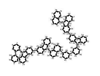 c1ccc(-c2ccccc2-n2c3ccccc3c3cc(-c4ccc5c(c4)c4ccccc4n5-c4cccc5c(-c6cccc(-c7cccc(-n8c9ccccc9c9cc(-c%10ccc%11c(c%10)c%10ccccc%10n%11-c%10cccc%11ccccc%10%11)ccc98)c7)c6)cccc45)ccc32)cc1